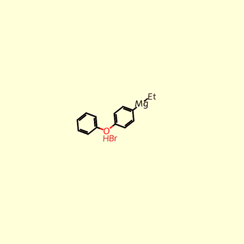 Br.C[CH2][Mg][c]1ccc(Oc2ccccc2)cc1